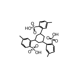 Cc1ccc(S(=O)(=O)O)c(C2CC(c3cc(C)ccc3S(=O)(=O)O)CC(c3cc(C)ccc3S(=O)(=O)O)C2)c1